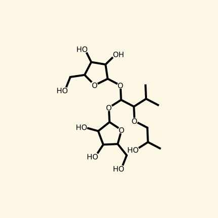 CC(O)COC(C(C)C)C(OC1OC(CO)C(O)C1O)OC1OC(CO)C(O)C1O